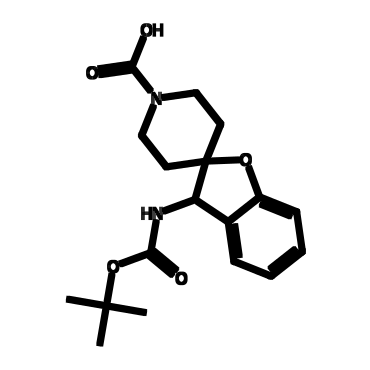 CC(C)(C)OC(=O)NC1c2ccccc2OC12CCN(C(=O)O)CC2